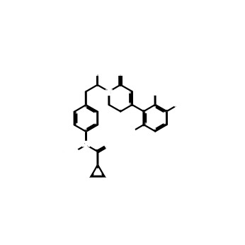 CC(Cc1ccc(N(C)C(=O)C2CC2)cc1)N1CCC(c2c(F)ccc(Cl)c2F)=CC1=O